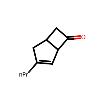 CCCC1=CC2C(=O)CC2C1